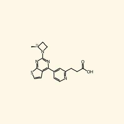 C[C@H]1CCN1c1nc(-c2ccnc(CCC(=O)O)c2)c2ccsc2n1